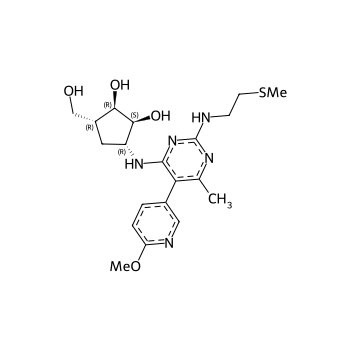 COc1ccc(-c2c(C)nc(NCCSC)nc2N[C@@H]2C[C@H](CO)[C@@H](O)[C@H]2O)cn1